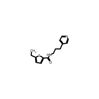 CCc1ccc(C(=O)NCCCc2ccncc2)s1